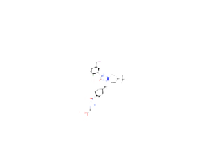 C[C@H](c1ccc(C(=O)NCCC(=O)O)cc1)N1C(=O)C(c2cc(CI)ccc2F)=NC12CCC(C(C)(C)C)CC2